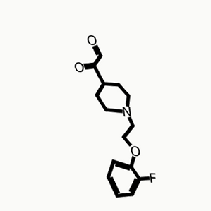 O=CC(=O)C1CCN(CCOc2ccccc2F)CC1